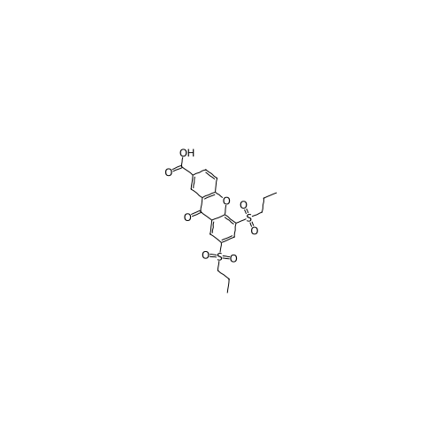 CCCS(=O)(=O)c1cc(S(=O)(=O)CCC)c2oc3ccc(C(=O)O)cc3c(=O)c2c1